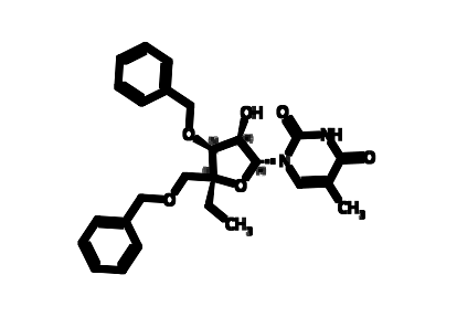 CC[C@]1(COCc2ccccc2)O[C@@H](n2cc(C)c(=O)[nH]c2=O)[C@H](O)[C@@H]1OCc1ccccc1